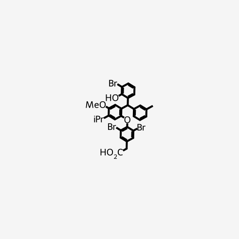 COc1cc(C(c2cccc(C)c2)c2cccc(Br)c2O)c(Oc2c(Br)cc(CC(=O)O)cc2Br)cc1C(C)C